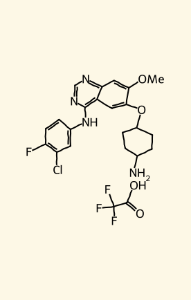 COc1cc2ncnc(Nc3ccc(F)c(Cl)c3)c2cc1OC1CCC(N)CC1.O=C(O)C(F)(F)F